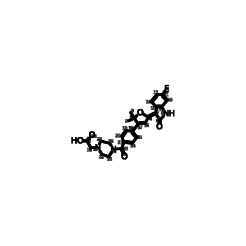 CC1(C)O/C(=C2/C(=O)Nc3cc(F)ccc32)C=C1c1ccc(C(=O)N2CCN(CC(=O)O)CC2)cc1